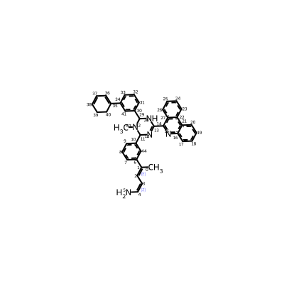 C/C(=C\C=C/N)c1cccc(C2N=C(c3nc4ccccc4c4ccccc34)NC(c3cccc(C4=CC=CCC4)c3)N2C)c1